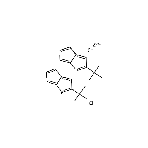 CC(C)(C)C1=PC2=CC=CC2=C1.CC(C)(C)C1=PC2=CC=CC2=C1.[Cl-].[Cl-].[Zr+2]